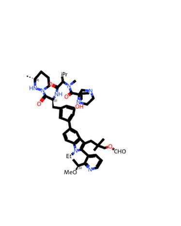 CCn1c(-c2cccnc2[C@H](C)OC)c(CC(C)(C)COC=O)c2cc(-c3cc(O)cc(C[C@H](NC(=O)C(C(C)C)N(C)C(=O)C4CN5CCCN4CC5)C(=O)N4CCC[C@@H](C)N4)c3)ccc21